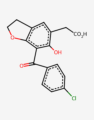 O=C(O)Cc1cc2c(c(C(=O)c3ccc(Cl)cc3)c1O)OCC2